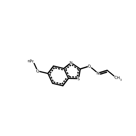 C/C=N/Oc1nc2cc(OCCC)ccc2s1